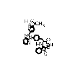 CN(C)c1ccc(-c2nc3cccnc3n2-c2ccc(C[C@H](NC3=C(Br)C(=O)C34CCCCC4)C(=O)O)cc2)cn1